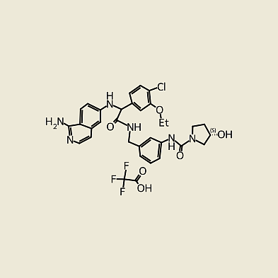 CCOc1cc(C(Nc2ccc3c(N)nccc3c2)C(=O)NCc2cccc(NC(=O)N3CC[C@H](O)C3)c2)ccc1Cl.O=C(O)C(F)(F)F